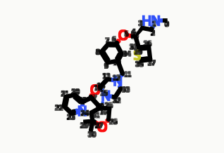 CNCC[C@H](Oc1cccc(CN2CCN([C@]3(C(=O)c4ccccn4)CCOC(C)(C)C3)CC2)c1)c1cccs1